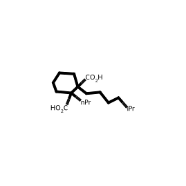 CCCC1(C(=O)O)CCCCC1(CCCCC(C)C)C(=O)O